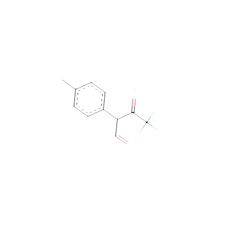 Cc1ccc(C(C=O)C(=O)C(F)(F)F)cc1